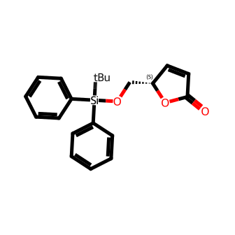 CC(C)(C)[Si](OC[C@@H]1C=CC(=O)O1)(c1ccccc1)c1ccccc1